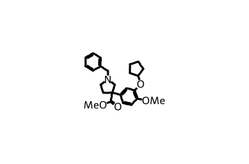 COC(=O)C1(c2ccc(OC)c(OC3CCCC3)c2)CCN(Cc2ccccc2)C1